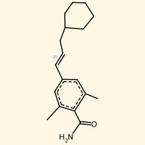 Cc1cc(/C=C/CC2CCCCC2)cc(C)c1C(N)=O